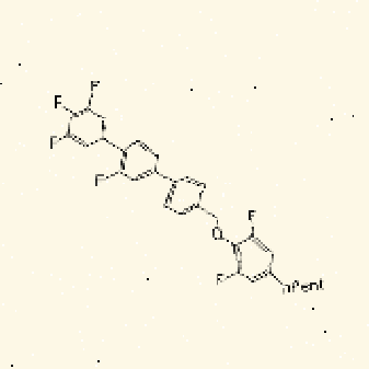 CCCCCc1cc(F)c(OCc2ccc(-c3ccc(-c4cc(F)c(F)c(F)c4)c(F)c3)cc2)c(F)c1